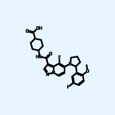 COc1ccc(F)cc1C1CCCN1c1ccn2ncc(C(=O)NC3CCC(C(=O)O)CC3)c2c1F